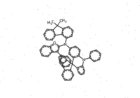 CC1(C)c2ccccc2-c2c(N(c3ccc4c(c3)C3(c5ccccc5-c5ccccc53)c3ccccc3N4c3ccccc3)c3oc4ccccc4c3-c3ccccc3)cccc21